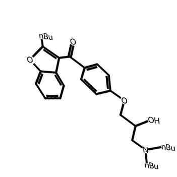 CCCCc1oc2ccccc2c1C(=O)c1ccc(OCC(O)CN(CCCC)CCCC)cc1